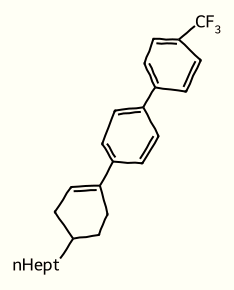 CCCCCCCC1CC=C(c2ccc(-c3ccc(C(F)(F)F)cc3)cc2)CC1